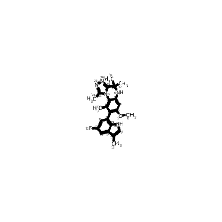 COc1cc2c(c(C)c1-c1cc(F)cc3c(C)c[nH]c13)-n1c(C)nnc1C(C)(C)N2